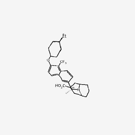 CCC1CCC(Oc2ccc3cc([C@@H](C)N4C5CCCC4CC(C(=O)O)C5)ccc3c2C(F)(F)F)CC1